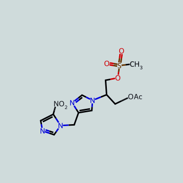 CC(=O)OCC(COS(C)(=O)=O)n1cnc(Cn2cncc2[N+](=O)[O-])c1